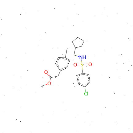 COC(=O)Cc1ccc(CC2(CNS(=O)(=O)c3ccc(Cl)cc3)CCCC2)cc1